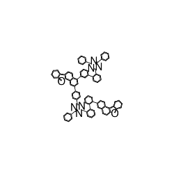 c1ccc(-c2nc(-c3ccccc3)nc(-c3ccccc3-c3cccc(-c4cc(-c5ccc(-c6nc(-c7ccccc7)nc(-c7ccccc7-c7ccccc7-c7ccc8c(ccc9oc%10ccccc%10c98)c7)n6)cc5)cc5c4ccc4c6ccccc6oc54)c3)n2)cc1